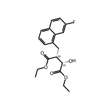 CCOC(=O)[C@@H](O)[C@@H](Cc1cccc2ccc(F)cc12)C(=O)OCC